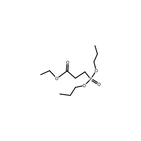 CCCOP(=O)(CCC(=O)OCC)OCCC